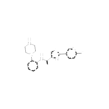 O=C(Nc1ccccc1N1CCNCC1)c1csc(-c2ccc(F)nc2)n1